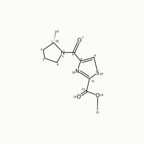 C[C@H]1CCCN1C(=O)c1csc(C(=O)OI)n1